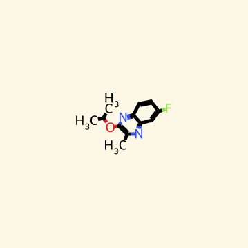 Cc1nc2cc(F)ccc2nc1OC(C)C